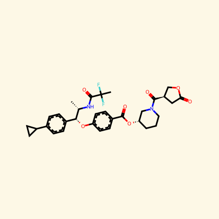 C[C@H](NC(=O)C(C)(F)F)[C@H](Oc1ccc(C(=O)O[C@H]2CCCN(C(=O)[C@H]3COC(=O)C3)C2)cc1)c1ccc(C2CC2)cc1